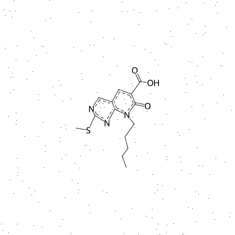 CCCCCn1c(=O)c(C(=O)O)cc2cnc(SC)nc21